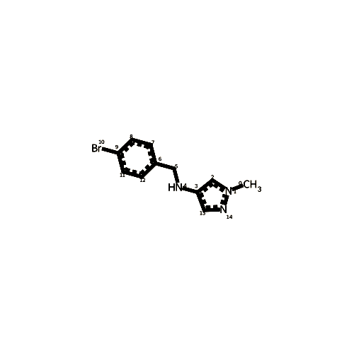 Cn1cc(NCc2ccc(Br)cc2)cn1